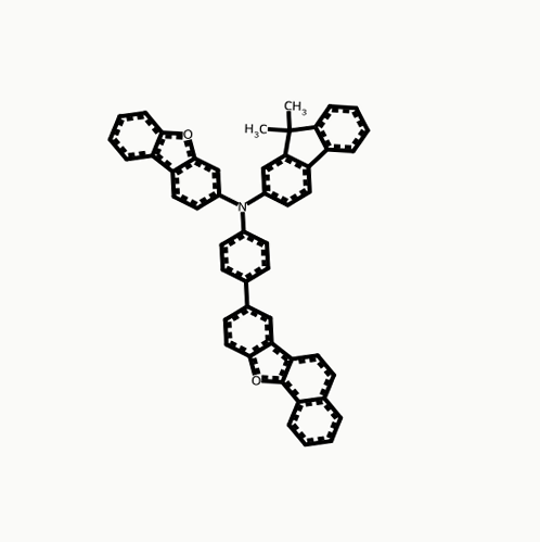 CC1(C)c2ccccc2-c2ccc(N(c3ccc(-c4ccc5oc6c7ccccc7ccc6c5c4)cc3)c3ccc4c(c3)oc3ccccc34)cc21